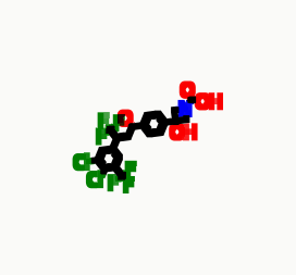 O=C(C=C(c1cc(Cl)c(Cl)c(C(F)(F)F)c1)C(F)(F)F)c1ccc(C2(O)CN(C(=O)O)C2)cc1